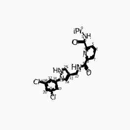 CC(C)NC(=O)c1cccc(C(=O)NCC2=CN(c3cc(Cl)cc(Cl)c3)NC2)n1